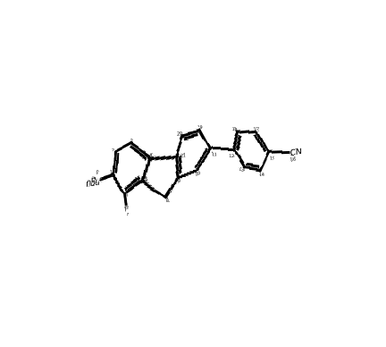 CCCCc1ccc2c(c1F)Cc1cc(-c3ccc(C#N)cc3)ccc1-2